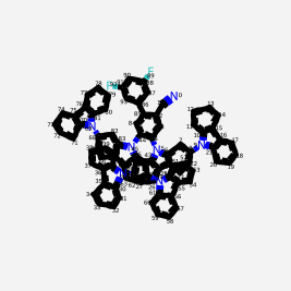 N#Cc1cc(-n2c3cc(-n4c5ccccc5c5ccccc54)ccc3c3ccc(-n4c5ccccc5c5ccccc54)cc32)c(-n2c3cc(-n4c5ccccc5c5ccccc54)ccc3c3ccc(-n4c5ccccc5c5ccccc54)cc32)cc1-c1cc(F)cc(F)c1